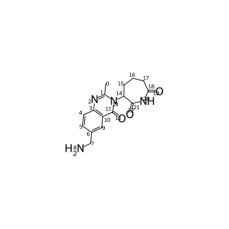 Cc1nc2ccc(CN)cc2c(=O)n1C1CCCC(=O)NC1=O